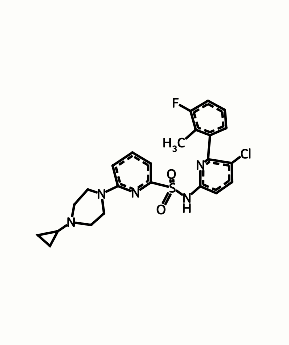 Cc1c(F)cccc1-c1nc(NS(=O)(=O)c2cccc(N3CCN(C4CC4)CC3)n2)ccc1Cl